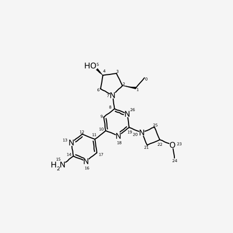 CC[C@@H]1C[C@H](O)CN1c1cc(-c2cnc(N)nc2)nc(N2CC(OC)C2)n1